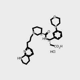 Cl.O=C(O)C[C@H](NC(=O)[C@@H]1CCCN(CCCc2ccc3c(n2)NCCC3)C1)c1cccc(N2CCOCC2)c1